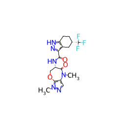 CN1C(=O)[C@@H](NC(=O)c2n[nH]c3c2C[C@@H](C(F)(F)F)CC3)COc2c1cnn2C